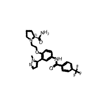 Cn1nccc1-c1cc(NC(=O)c2ccc(C(F)(F)F)cc2)ccc1OCCN1CCC[C@H]1C(N)=O